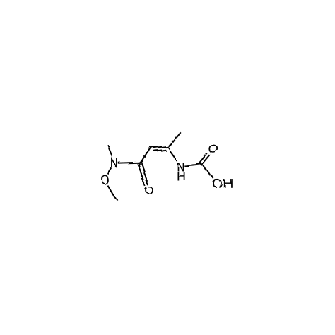 CON(C)C(=O)C=C(C)NC(=O)O